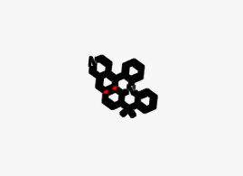 CC1(C)c2ccccc2N(c2ccccc2C2=c3ccncc3=CCC2)C2C#CC=CC21